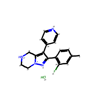 Cc1ccc(-c2nn3c(c2-c2ccncc2)CNCC3)c(F)c1.Cl